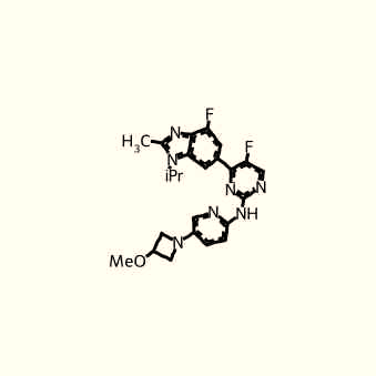 COC1CN(c2ccc(Nc3ncc(F)c(-c4cc(F)c5nc(C)n(C(C)C)c5c4)n3)nc2)C1